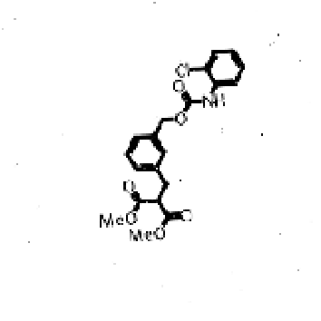 COC(=O)C(Cc1cccc(COC(=O)Nc2ccccc2Cl)c1)C(=O)OC